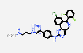 CCCCCCCCNCCCN/C=C(\N=N)c1ccc(Nc2ncc3c(n2)-c2ccc(Cl)cc2C(c2c(F)cccc2F)=NC3)cc1